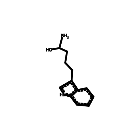 NC(O)CCCc1c[nH]c2ccccc12